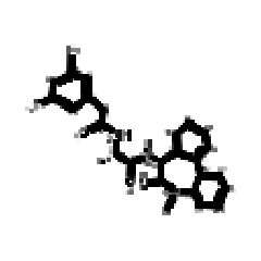 C[C@H](NC(=O)Cc1cc(F)cc(F)c1)C(=O)N[C@@H]1C(=O)N(C)c2ccccc2-c2ccccc21